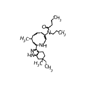 CCCC(=O)N(CCC)/C1=C/CN/C(c2n[nH]c3c2CCC(C)(CC)C3)=C\C(C)/C=C\C1